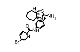 NC1=N[C@@]2(c3cc(NC(=O)c4ccc(Br)cn4)ccc3F)CCCCC[C@H]2CS1